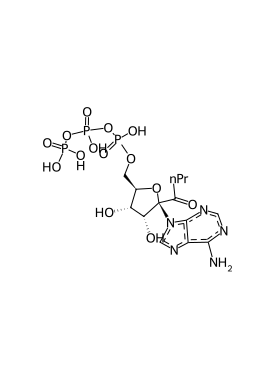 CCCC(=O)[C@@]1(n2cnc3c(N)ncnc32)O[C@H](COP(=O)(O)OP(=O)(O)OP(=O)(O)O)[C@@H](O)[C@H]1O